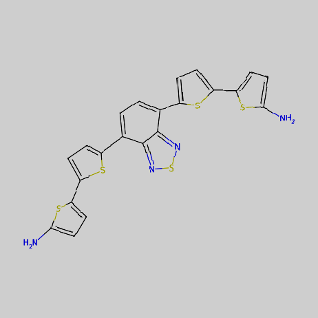 Nc1ccc(-c2ccc(-c3ccc(-c4ccc(-c5ccc(N)s5)s4)c4nsnc34)s2)s1